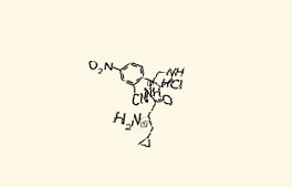 Cl.N#Cc1cc([N+](=O)[O-])ccc1[C@@]1(NC(=O)[C@@H](N)CC2CC2)CCNC1